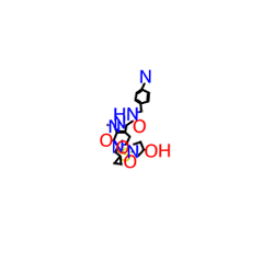 Cn1nc(C(=O)NCc2ccc(C#N)cc2)c2c1C(=O)N(CC1(S(=O)(=O)N3CC[C@H](O)C3)CC1)CC2